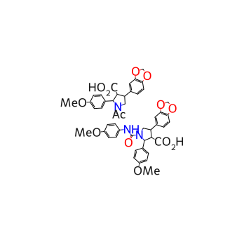 COc1ccc(C2C(C(=O)O)C(c3ccc4c(c3)OCO4)CN2C(C)=O)cc1.COc1ccc(NC(=O)N2CC(c3ccc4c(c3)OCO4)C(C(=O)O)C2c2ccc(OC)cc2)cc1